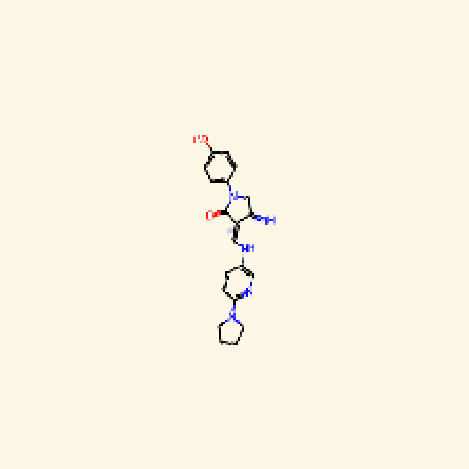 N=C1CN(c2ccc(O)cc2)C(=O)/C1=C/Nc1ccc(N2CCCC2)nc1